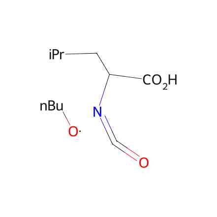 CC(C)CC(N=C=O)C(=O)O.CCCC[O]